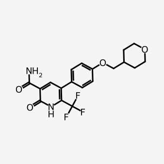 NC(=O)c1cc(-c2ccc(OCC3CCOCC3)cc2)c(C(F)(F)F)[nH]c1=O